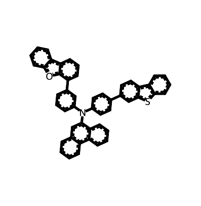 c1cc(-c2cccc3c2oc2ccccc23)cc(N(c2ccc(-c3ccc4c(c3)sc3ccccc34)cc2)c2cc3ccccc3c3ccccc23)c1